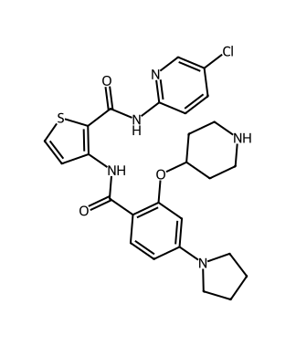 O=C(Nc1ccsc1C(=O)Nc1ccc(Cl)cn1)c1ccc(N2CCCC2)cc1OC1CCNCC1